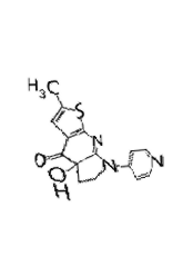 Cc1cc2c(s1)N=C1N(c3ccncc3)CCC1(O)C2=O